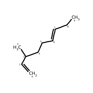 C=CC(C)CCC=CCC